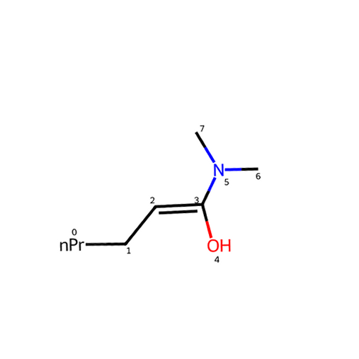 CCCC/C=C(\O)N(C)C